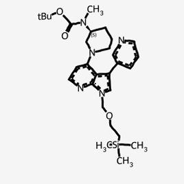 CN(C(=O)OC(C)(C)C)[C@H]1CCCN(c2ccnc3c2c(-c2cccnc2)cn3COCC[Si](C)(C)C)C1